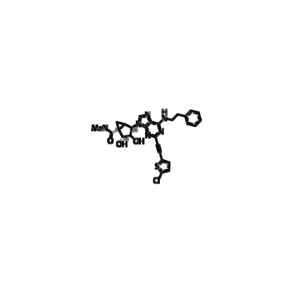 CNC(=O)[C@]12CC1[C@@H](n1cnc3c(NCCc4ccccc4)nc(C#Cc4ccc(Cl)s4)nc31)C(O)[C@@H]2O